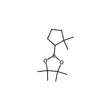 CC1(C)CCCC1B1OC(C)(C)C(C)(C)O1